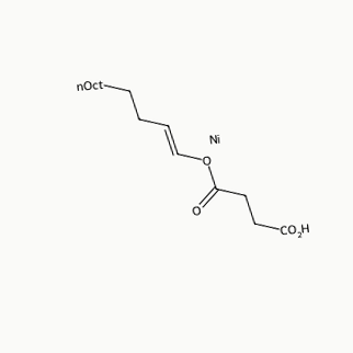 CCCCCCCCCC/C=C/OC(=O)CCC(=O)O.[Ni]